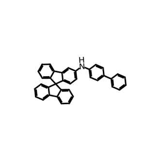 c1ccc(-c2ccc(Nc3ccc4c(c3)-c3ccccc3C43c4ccccc4-c4ccccc43)cc2)cc1